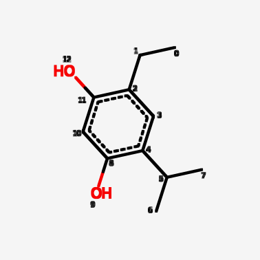 CCc1cc(C(C)C)c(O)cc1O